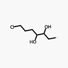 [CH2]CC(O)C(O)CCCCl